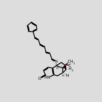 C/C=C1\[C@H]2C=C(C)C[C@]1(N=CC=CC=CC=Cc1ccccc1)c1ccc(=O)[nH]c1C2